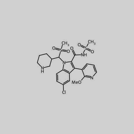 COc1ncccc1-c1c(C(=O)NS(C)(=O)=O)n(C(C2CCCNC2)S(C)(=O)=O)c2ccc(Cl)cc12